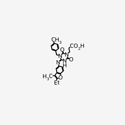 CCc1oc2ccc(/N=c3\[nH]c(=O)n(CCC(=O)O)c(=O)n3Cc3ccc(C)cc3)cc2c1C